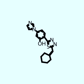 Oc1cc(-n2ccnc2)ccc1-c1nnc(C=C2CCCCC2)s1